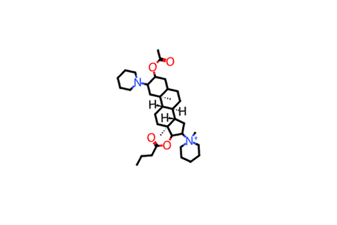 CCCC(=O)OC1C([N+]2(C)CCCCC2)C[C@H]2[C@@H]3CCC4CC(OC(C)=O)C(N5CCCCC5)C[C@]4(C)[C@H]3CC[C@]12C